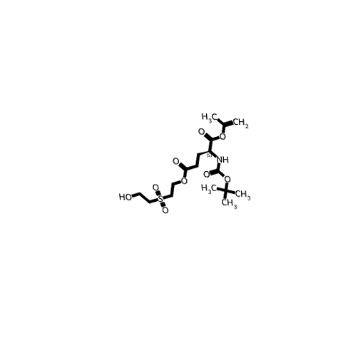 C=C(C)OC(=O)[C@H](CCC(=O)OCCS(=O)(=O)CCO)NC(=O)OC(C)(C)C